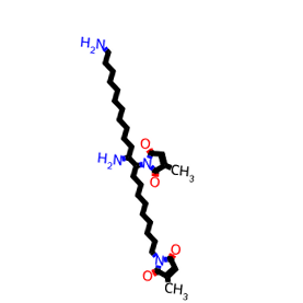 CC1=CC(=O)N(CCCCCCCCCC(C(N)CCCCCCCCCCCN)N2C(=O)C=C(C)C2=O)C1=O